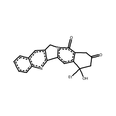 CCC1(O)CC(=O)Cc2c1cc1n(c2=O)Cc2cc3ccccc3nc2-1